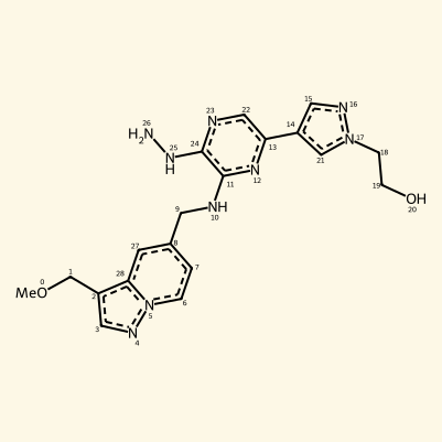 COCc1cnn2ccc(CNc3nc(-c4cnn(CCO)c4)cnc3NN)cc12